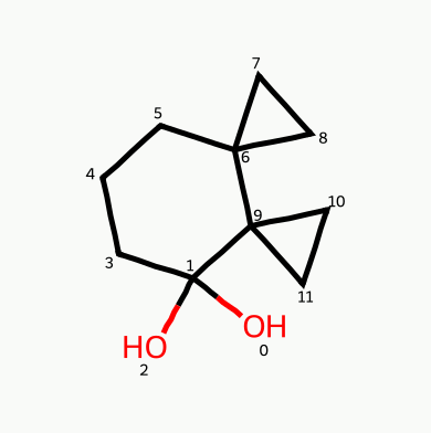 OC1(O)CCCC2(CC2)C12CC2